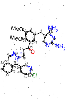 COc1cc(Cc2cnc(N)nc2N)cc(C(=O)/C=C/N2N=Cc3ccccc3C2c2ccc(Cl)nc2)c1OC